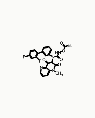 CCC(=O)ONC(=O)N(c1cccc(-c2ccc(F)cc2F)c1)C1C(=O)c2ncccc2N(C)C1=O